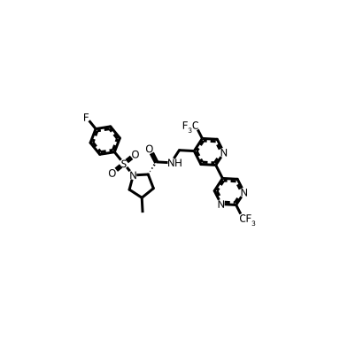 CC1C[C@@H](C(=O)NCc2cc(-c3cnc(C(F)(F)F)nc3)ncc2C(F)(F)F)N(S(=O)(=O)c2ccc(F)cc2)C1